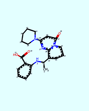 C[C@@H](Nc1ccccc1C(=O)O)c1cccn2c(=O)cc(N3CCCCC3)nc12